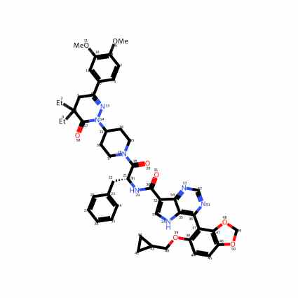 CCC1(CC)CC(c2ccc(OC)c(OC)c2)=NN(C2CCN(C(=O)[C@@H](Cc3ccccc3)NC(=O)c3c[nH]c4c(-c5c(OCC6CC6)ccc6c5OCO6)ncnc34)CC2)C1=O